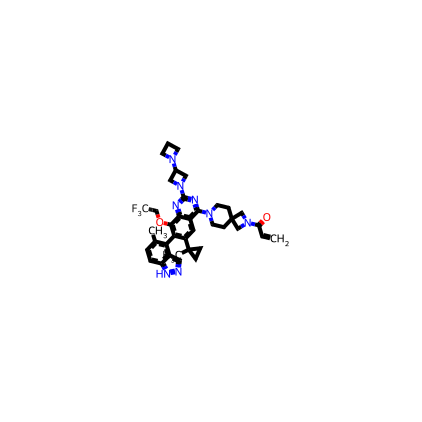 C=CC(=O)N1CC2(CCN(c3nc(N4CC(N5CCC5)C4)nc4c(OCC(F)(F)F)c(-c5c(C)ccc6[nH]ncc56)c(C5(C)CC5)cc34)CC2)C1